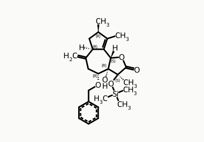 C=C1C[C@@H](OCc2ccccc2)[C@@]2(O)[C@@H](OC(=O)[C@@]2(C)O[Si](C)(C)C)C2=C(C)[C@H](C)C[C@H]12